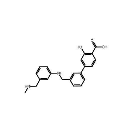 CNCc1cccc(NCc2cccc(-c3ccc(C(=O)O)c(O)c3)c2)c1